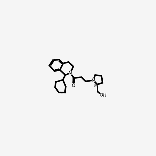 O=C(CCN1CCC[C@H]1CO)N1CCc2ccccc2C1C1CCCCC1